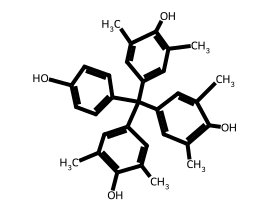 Cc1cc(C(c2ccc(O)cc2)(c2cc(C)c(O)c(C)c2)c2cc(C)c(O)c(C)c2)cc(C)c1O